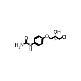 NC(=O)Nc1ccc(OC[C@H](O)CCl)cc1